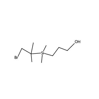 CC(C)(CBr)[Si](C)(C)CCCO